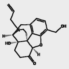 C=CCN1CC[C@]23c4c5ccc(CO)c4O[C@H]2C(=O)CC[C@@]3(O)[C@H]1C5